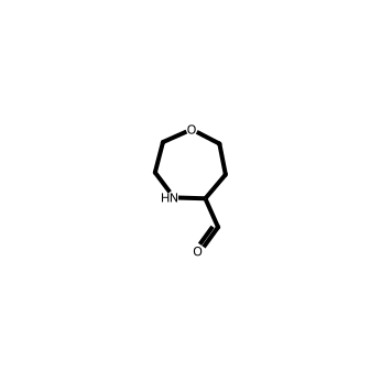 O=CC1CCOCCN1